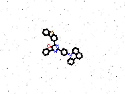 c1ccc2c(c1)-c1cccc3cccc(c13)N2c1ccc(-c2nc(-c3ccc4sc5ccccc5c4c3)c3oc4ccccc4c3n2)cc1